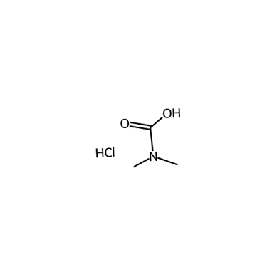 CN(C)C(=O)O.Cl